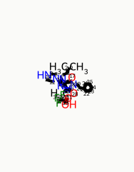 CC(C)=CCn1c(N2CCNCC2)nc2c1c(=O)n(CCc1ccccc1)c(=O)n2C.O=C(O)C(F)(F)F